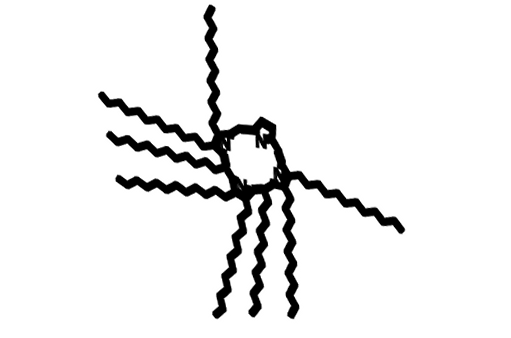 CCCCCCCCCCCCC1=C(CCCCCCCCCCCC)C2=NC1=CC1=NC(=CC3=NC(=C(CCCCCCCCCCCC)C4=NC(=C2CCCCCCCCCCCC)C(CCCCCCCCCCCC)=C4CCCCCCCCCCCC)C(CCCCCCCCCCCC)=C3CCCCCCCCCCCC)C=C1